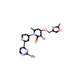 Cc1nc(COc2cc(C)n(-c3ccnc(-c4ccnc(C(C)(C)C)n4)c3)c(=O)c2Br)co1